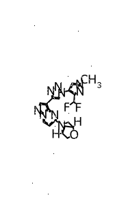 Cn1cc(-n2cc(-c3cnn4ccc(N5C[C@H]6C[C@@H]5CO6)nc34)nn2)c(C(F)F)n1